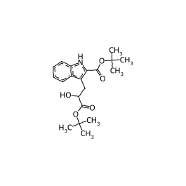 CC(C)(C)OC(=O)c1[nH]c2ccccc2c1CC(O)C(=O)OC(C)(C)C